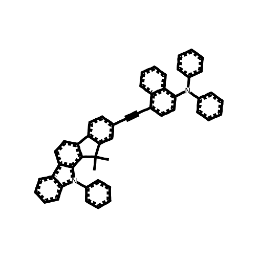 CC1(C)c2cc(C#Cc3ccc(N(c4ccccc4)c4ccccc4)c4ccccc34)ccc2-c2ccc3c4ccccc4n(-c4ccccc4)c3c21